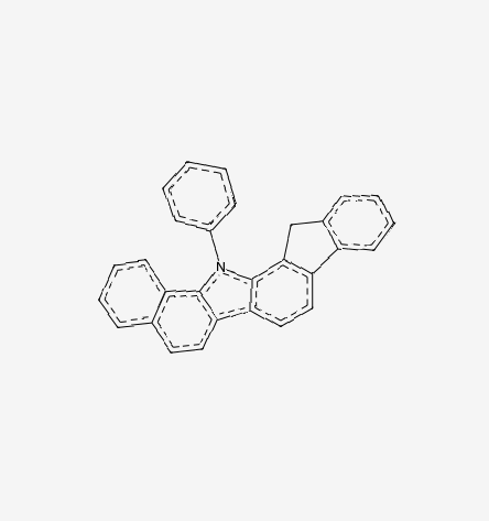 c1ccc(-n2c3c4c(ccc3c3ccc5ccccc5c32)-c2ccccc2C4)cc1